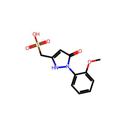 COc1ccccc1-n1[nH]c(CS(=O)(=O)O)cc1=O